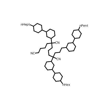 CCCCCCCC1CCC(C2CCCC(C(C#N)(CCCCC#N)CCCC(C#N)(CCCC3CCCC(C4CCC(CCCCC)CC4)C3)C3CCCC(C4CCC(CCCCCC)CC4)C3)C2)CC1